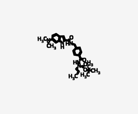 CCCN(NC(=O)c1ccc(CNC(=O)c2cc3ccc(N(C)C)cc3[nH]2)cc1)C(=O)OC(C)(C)C